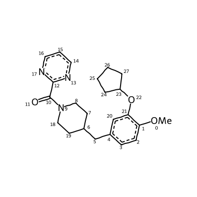 COc1ccc(CC2CCN(C(=O)c3ncccn3)CC2)cc1OC1CCCC1